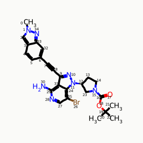 Cn1cc2ccc(C#Cc3nn([C@H]4CCN(C(=O)OC(C)(C)C)C4)c4c(Br)cnc(N)c34)cc2n1